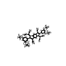 N#CC(C#N)=C1C(c2cc(OC(F)(F)F)cc(OC(F)(F)F)c2)=C(C#N)c2cc3c(cc21)C(C#N)=C(c1cc(OC(F)(F)F)cc(OC(F)(F)F)c1)C3=C(C#N)C#N